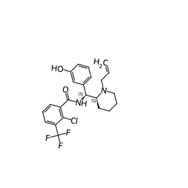 C=CCN1CCCC[C@H]1[C@@H](NC(=O)c1cccc(C(F)(F)F)c1Cl)c1cccc(O)c1